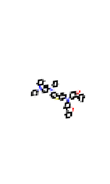 c1ccc(N(c2ccc3sc4cc(N(c5ccc6c(c5)oc5ccccc56)c5ccc6oc7ccccc7c6c5)ccc4c3c2)c2ccc3c(c2)c2ccccc2n3-c2ccccc2)cc1